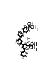 CC(C)N1CCC(n2cc(-c3cncc(-c4cc(-c5ccccn5)nc(C(C)(C)O)c4)c3)cn2)CC1